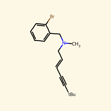 CN(C/C=C/C#CC(C)(C)C)Cc1ccccc1Br